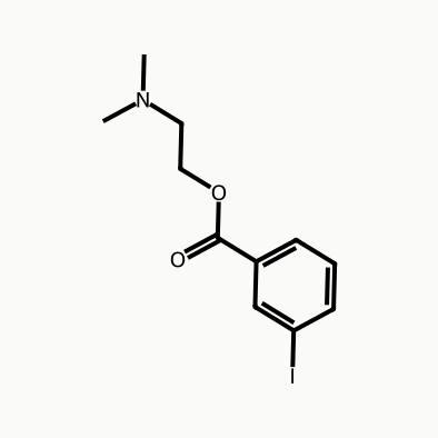 CN(C)CCOC(=O)c1cccc(I)c1